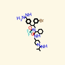 CC(C)C(=N)N1CCC(CNC(=O)C(C2CCCCC2)N(CC(Cc2ccc(C(=N)N)cc2)c2cccc(Br)c2)C(=O)C(F)(F)F)CC1